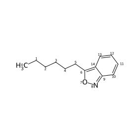 CCCCCCc1onc2ccccc12